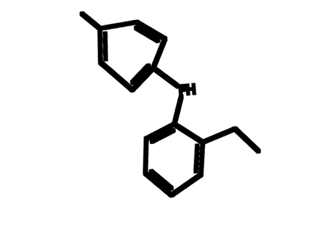 CCc1ccccc1Pc1ccc(C)cc1